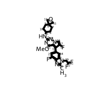 COc1nc(NC2CCC3(CC2)COC3)nn2cc(F)c(-c3cc(F)c4nc(C)n(CC(F)F)c4c3)c12